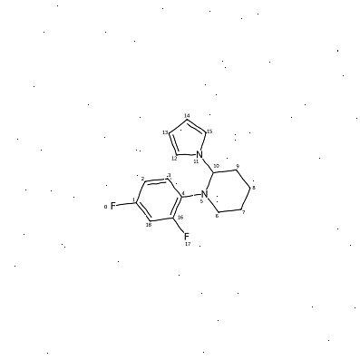 Fc1c[c]c(N2CCCCC2n2cccc2)c(F)c1